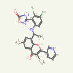 Cc1cc(C(C)Nc2ccc(F)c(F)c2-c2noc(=O)[nH]2)c2oc(-c3cccnc3)c(C)c(=O)c2c1